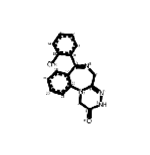 O=C1CN2C(=NN1)CN=C(c1ccccc1Cl)c1ccccc12